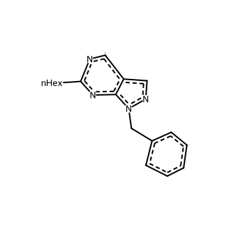 CCCCCCc1n[c]c2cnn(Cc3ccccc3)c2n1